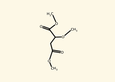 COC(=O)CC(OC)C(=O)OC